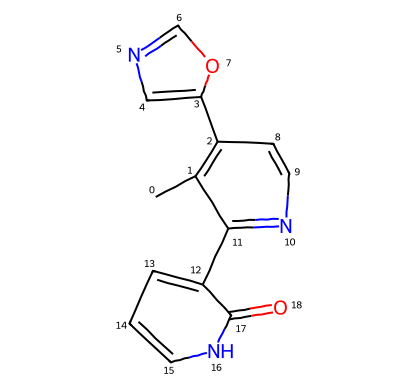 Cc1c(-c2cnco2)ccnc1-c1ccc[nH]c1=O